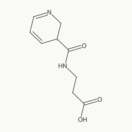 O=C(O)CCNC(=O)[C]1C=CC=NC1